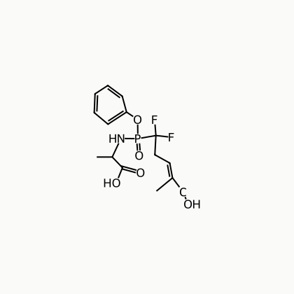 C/C(=C\CC(F)(F)P(=O)(NC(C)C(=O)O)Oc1ccccc1)CO